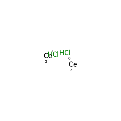 Cl.Cl.[Ce].[Ce]